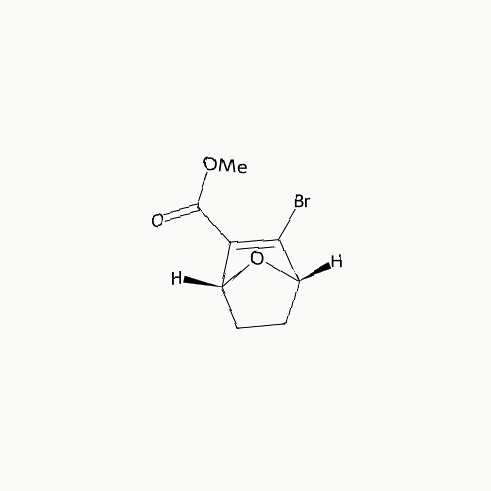 COC(=O)C1=C(Br)[C@@H]2CC[C@H]1O2